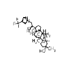 C[C@@H]1[C@]23CC[C@@H]4[C@](C)(CC[C@]5(C)[C@@H](C(=O)Cn6cc(C(F)(F)F)cn6)CC[C@@]45C)[C@]12CC[C@@](C)(O)C3